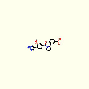 COc1cc(C(=O)N2CCCC2c2cccc(C(=O)O)c2)ccc1-c1cn[nH]c1